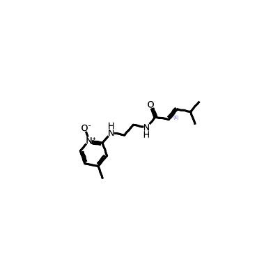 Cc1cc[n+]([O-])c(NCCNC(=O)/C=C/C(C)C)c1